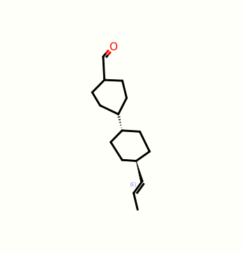 C/C=C/[C@H]1CC[C@H](C2CCC(C=O)CC2)CC1